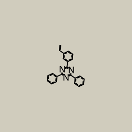 C=Cc1cccc(-c2nc(-c3ccccc3)nc(-c3ccccc3)n2)c1